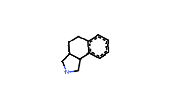 c1ccc2c(c1)CCC1C[N]CC21